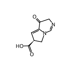 O=C1CN=CN2C[C@@H](C(=O)O)C=C12